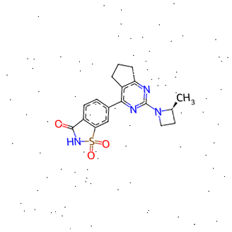 C[C@H]1CCN1c1nc2c(c(-c3ccc4c(c3)S(=O)(=O)NC4=O)n1)CCC2